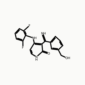 N=C(c1cccc(CO)c1)c1c(Nc2c(F)cccc2F)cc[nH]c1=O